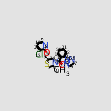 C[C@@H]1CS[C@@H](COc2ncccc2Cl)CN1C(=O)c1ccccc1-n1nccn1